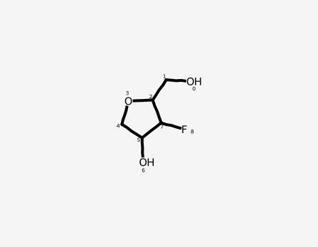 OCC1OCC(O)C1F